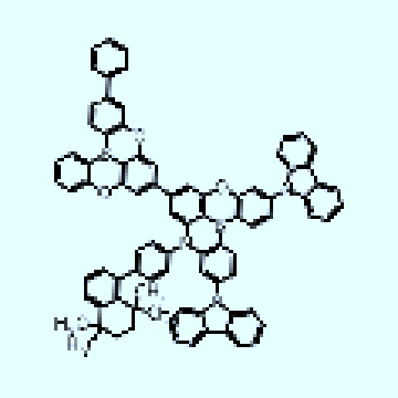 CC1(C)CCC(C)(C)c2c(-c3ccc(N4c5cc(-n6c7ccccc7c7ccccc76)ccc5B5c6ccc(-n7c8ccccc8c8ccccc87)cc6Oc6cc(-c7cc8c9c(c7)Oc7cc(-c%10ccccc%10)ccc7B9c7ccccc7O8)cc4c65)cc3)cccc21